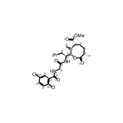 COC(=O)[C@@H]1CC[C@H](C)C(=O)OB([C@H](CC(C)C)NC(=O)CNC(=O)c2cc(Cl)ccc2Cl)N1C